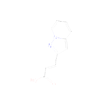 O=C(O)C=Cc1cc2ccccn2n1